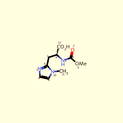 COC(=O)N[C@@H](Cc1nccn1C)C(=O)O